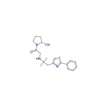 CC(C)(Cc1csc(-c2ccccc2)n1)NCC(=O)N1CCCC1C#N